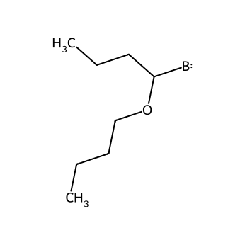 [B]C(CCC)OCCCC